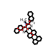 C=C/C(=C\C)c1nc(-c2ccccc2)nc(-c2ccc(-c3cccc4cccc(-c5ccc(-c6nc(-c7ccccc7)nc(-c7ccc8ccccc8c7)n6)cc5)c34)cc2)n1